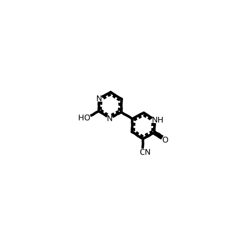 N#Cc1cc(-c2ccnc(O)n2)c[nH]c1=O